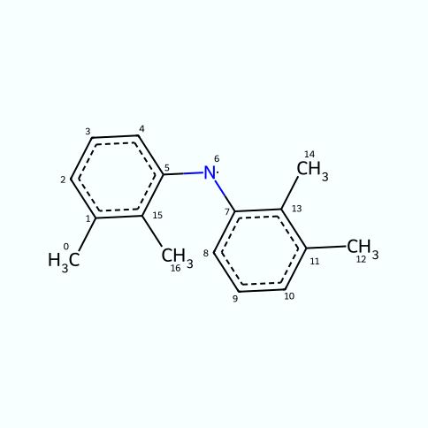 Cc1cccc([N]c2cccc(C)c2C)c1C